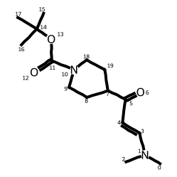 CN(C)C=CC(=O)C1CCN(C(=O)OC(C)(C)C)CC1